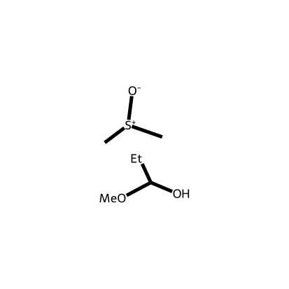 CCC(O)OC.C[S+](C)[O-]